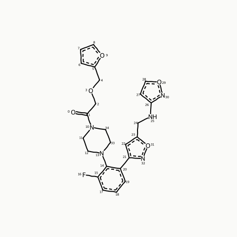 O=C(COCc1ccco1)N1CCN(c2c(F)cccc2-c2cc(CNc3ccon3)on2)CC1